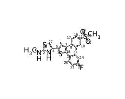 CNC1NC(c2cc(-c3ccc(S(C)(=O)=O)cc3)c(-c3ccc(F)cc3)s2)=CS1